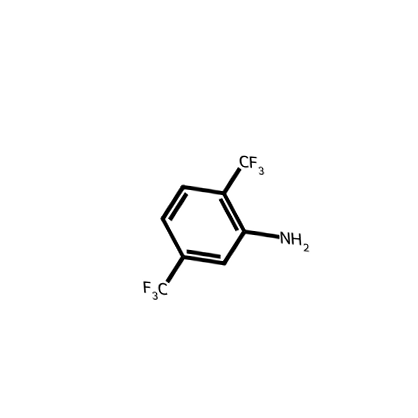 Nc1cc(C(F)(F)F)ccc1C(F)(F)F